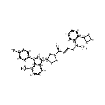 CN(CC=CC(=O)N1CC[C@@H](n2nc(-c3ccc(F)cc3)c3c(N)ncnc32)C1)c1ccccc1C1CCC1